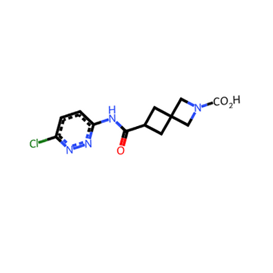 O=C(Nc1ccc(Cl)nn1)C1CC2(C1)CN(C(=O)O)C2